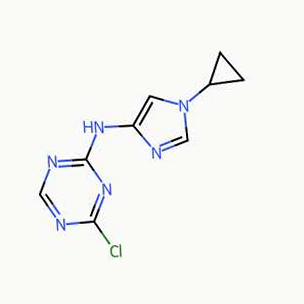 Clc1ncnc(Nc2cn(C3CC3)cn2)n1